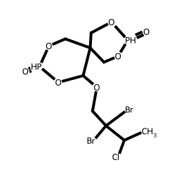 CC(Cl)C(Br)(Br)COC1O[PH](=O)OCC12CO[PH](=O)OC2